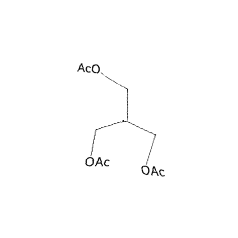 CC(=O)OC[C](COC(C)=O)COC(C)=O